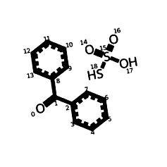 O=C(c1ccccc1)c1ccccc1.O=S(=O)(O)S